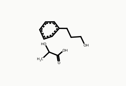 CC(O)C(=O)O.OCCCc1ccccc1